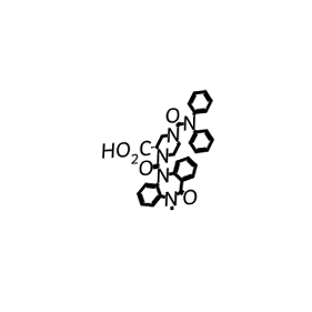 CN1C(=O)c2ccccc2N(C(=O)N2CCN(C(=O)N(c3ccccc3)c3ccccc3)C[C@H]2C(=O)O)c2ccccc21